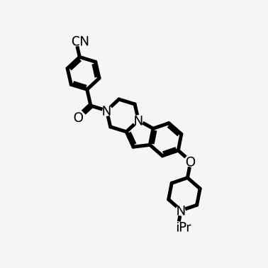 CC(C)N1CCC(Oc2ccc3c(c2)cc2n3CCN(C(=O)c3ccc(C#N)cc3)C2)CC1